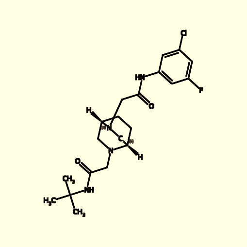 CC(C)(C)NC(=O)CN1C[C@@H]2CC[C@H]1CN2CC(=O)Nc1cc(F)cc(Cl)c1